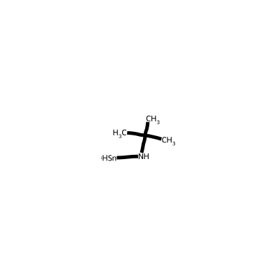 CC(C)(C)[NH][SnH]